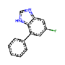 Fc1cc(-c2ccccc2)c2[nH]cnc2c1